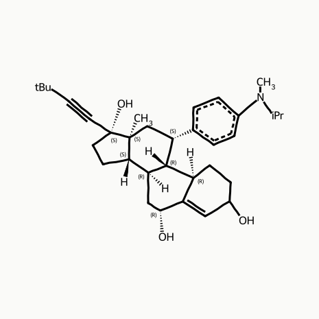 CC(C)N(C)c1ccc([C@H]2C[C@@]3(C)[C@@H](CC[C@@]3(O)C#CC(C)(C)C)[C@@H]3C[C@@H](O)C4=CC(O)CC[C@@H]4[C@H]32)cc1